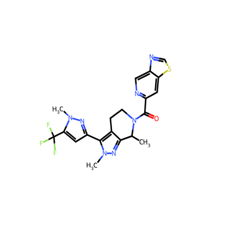 CC1c2nn(C)c(-c3cc(C(F)(F)F)n(C)n3)c2CCN1C(=O)c1cc2scnc2cn1